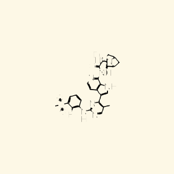 CC[C@H](C(=O)Nc1nccc2c(-c3nc(Nc4cccc(S(C)(=O)=O)c4F)ncc3C)c[nH]c12)N1C2CNC(=O)C1C2